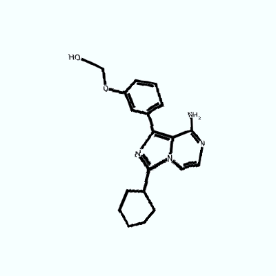 Nc1nccn2c(C3CCCCC3)nc(-c3cccc(OCO)c3)c12